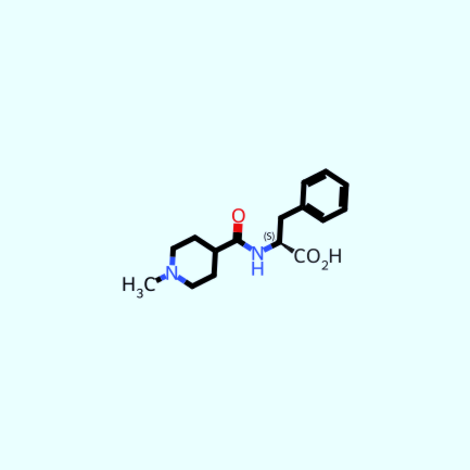 CN1CCC(C(=O)N[C@@H](Cc2ccccc2)C(=O)O)CC1